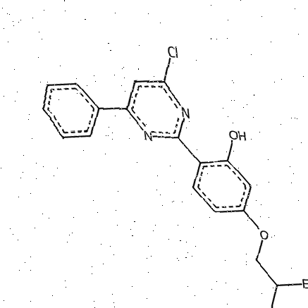 CCCCC(CC)COc1ccc(-c2nc(Cl)cc(-c3ccccc3)n2)c(O)c1